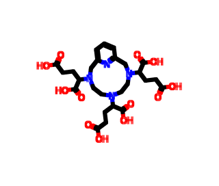 O=C(O)CCC(C(=O)O)N1CCN(C(CCC(=O)O)C(=O)O)Cc2cccc(n2)CN(C(CCC(=O)O)C(=O)O)CC1